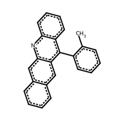 Cc1ccccc1-c1c2ccccc2nc2cc3ccccc3cc12